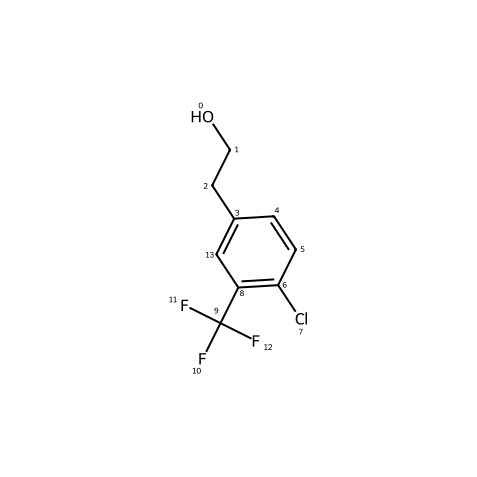 OCCc1ccc(Cl)c(C(F)(F)F)c1